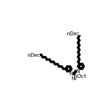 CCCCCCCCCCCCCCCCCCCCCCc1cccc(/N=C(\C=N\c2cccc(CCCCCCCCCCCCCCCCCCCCCC)c2)CCCCCCCC)c1.[Ni]